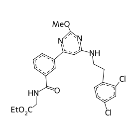 CCOC(=O)CNC(=O)c1cccc(-c2cc(NCCc3ccc(Cl)cc3Cl)nc(OC)n2)c1